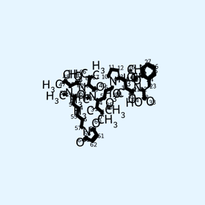 CC[C@H](C)C(C(CC(=O)N1CCC[C@H]1[C@H](OC)[C@@H](C)C(=O)N[C@@H](Cc1ccccc1OC)C(=O)O)OC)N(C)C(=O)[C@@H](NC(=O)C(C(C)C)N(C)C(=O)CCCCCN1C(=O)C=CC1=O)C(C)C